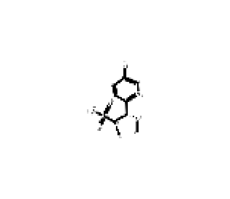 CO[C@@H](c1ccc(Cl)cn1)[C@@H](C)S(N)(=O)=O